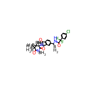 BC(NC(=O)C(F)(F)c1ccc(Cl)cc1)c1ccc2c(c1)CN([C@@]1(B)C(=O)N(B)C(=O)C(B)(B)C1(B)B)C2=O